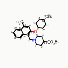 CCOC(=O)C1CCN(Cc2c(O[C@H]3CC[C@@H](C(C)(C)C)CC3)cc(C)c3ccccc23)CC1